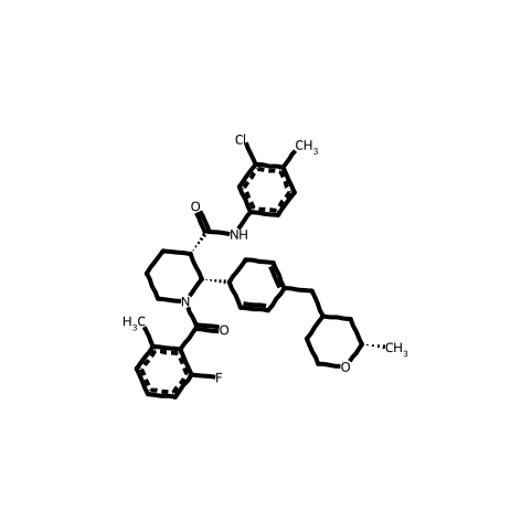 Cc1ccc(NC(=O)[C@H]2CCCN(C(=O)c3c(C)cccc3F)[C@H]2C2C=CC(CC3CCO[C@@H](C)C3)=CC2)cc1Cl